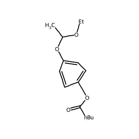 CCCCC(=O)Oc1ccc(OC(C)OCC)cc1